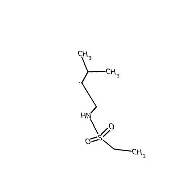 CCS(=O)(=O)NC[CH]C(C)C